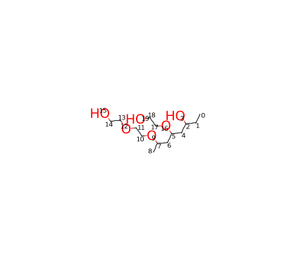 CCC(O)CC(CC(C)OCCOCCO)OCCO